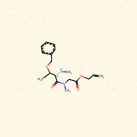 C=CCOC(=O)CN(C)C(=O)[C@@H](NC)C(C)OCc1ccccc1